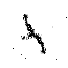 C=CC(=O)OCCCOc1ccc2cc(C(=O)Oc3ccc(OC(=O)c4ccc5cc(OCCCOC(=O)C=C)ccc5c4)c(C(=O)OC)c3)ccc2c1